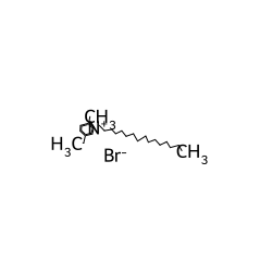 CCCCCCCCCCCCCCCC[n+]1cc(CC)ccc1C.[Br-]